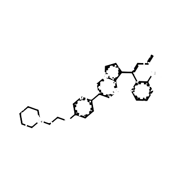 C=C/C=C(\c1ccccc1N)c1ccn2cc(-c3ccc(OCCN4CCCCC4)cc3)cnc12